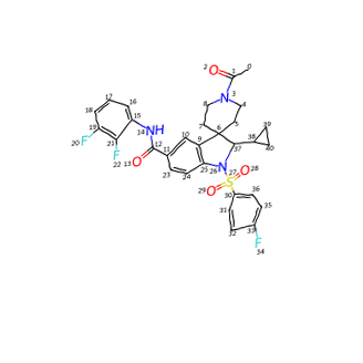 CC(=O)N1CCC2(CC1)c1cc(C(=O)Nc3cccc(F)c3F)ccc1N(S(=O)(=O)c1ccc(F)cc1)C2C1CC1